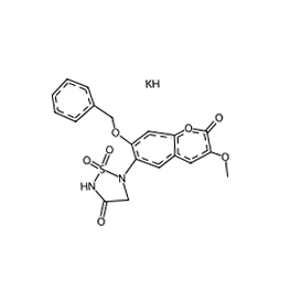 COc1cc2cc(N3CC(=O)NS3(=O)=O)c(OCc3ccccc3)cc2oc1=O.[KH]